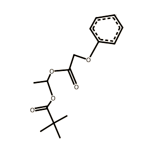 CC(OC(=O)COc1cc[c]cc1)OC(=O)C(C)(C)C